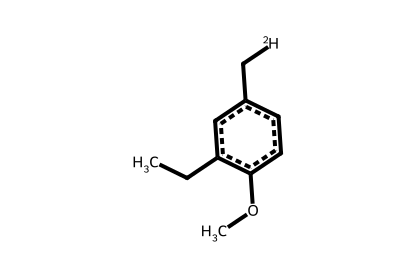 [2H]Cc1ccc(OC)c(CC)c1